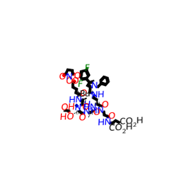 C[C@H](NC(=O)[C@H](C)N(C)C(=O)[C@H](C)NC(=O)CCCC(=O)ON1C(=O)CCC1=O)C(=O)N[C@@H](CCN[C@@H](c1cc(-c2cc(F)ccc2F)cn1Cc1ccccc1)C(C)(C)C)C(=O)NCCC(=O)N[C@H](CCC(=O)O)C(=O)O.OCCO